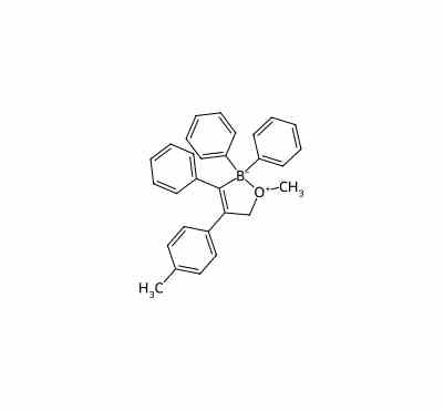 Cc1ccc(C2=C(c3ccccc3)[B-](c3ccccc3)(c3ccccc3)[O+](C)C2)cc1